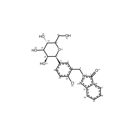 O=c1n(Cc2cc([C@@H]3OC(CO)[C@@H](O)C(O)[C@@H]3O)ccc2Cl)nc2ccccn12